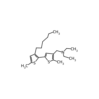 CCCCCCc1cc(C)sc1-c1cc(CN(CC)CC)c(C)s1